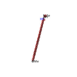 CN[C@H](CCCCNC(=O)CCOCCOCCOCCOCCOCCOCCOCCOCCOCCOCCOCCOCCOCCOCCOCCOCCOCCOCCOCCOCCOCCOCCOCCOC)C(=O)C(C)C